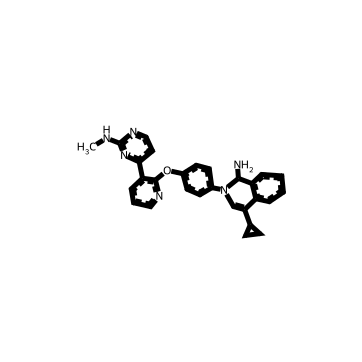 CNc1nccc(-c2cccnc2Oc2ccc(N3C=C(C4CC4)c4ccccc4C3N)cc2)n1